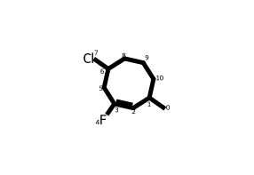 CC1C=C(F)CC(Cl)CCC1